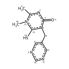 Cc1nc(=O)c(Cc2cncnc2)c(S)n1C